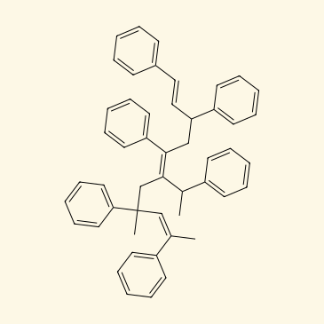 CC(=CC(C)(CC(=C(CC(C=Cc1ccccc1)c1ccccc1)c1ccccc1)C(C)c1ccccc1)c1ccccc1)c1ccccc1